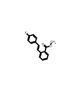 COC(=O)c1ccccc1C=Cc1ccc(F)cc1